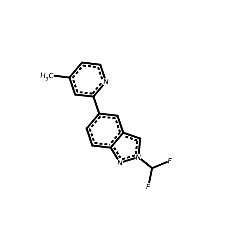 Cc1ccnc(-c2ccc3nn(C(F)F)cc3c2)c1